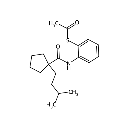 CC(=O)Sc1ccccc1NC(=O)C1(CCC(C)C)CCCC1